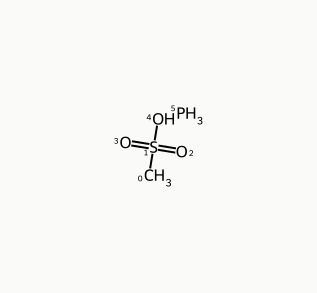 CS(=O)(=O)O.P